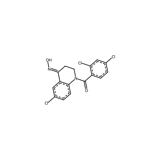 O=C(c1ccc(Cl)cc1Cl)N1CCC(=NO)c2cc(Cl)ccc21